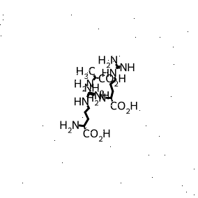 C[C@H](N)C(=O)O.N=C(N)NCCC[C@H](N)C(=O)O.N=C(N)NCCC[C@H](N)C(=O)O